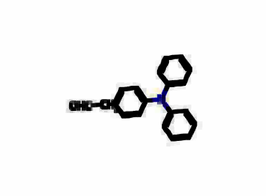 CC=O.c1ccc(N(c2ccccc2)c2ccccc2)cc1